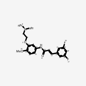 CCCN(CCC)CCOc1cc(NC(=O)C=Cc2cc(F)cc(F)c2)ccc1OC